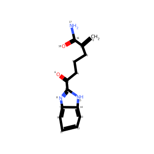 C=C(CCCC(=O)c1nc2ccccc2[nH]1)C(N)=O